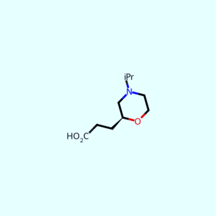 CC(C)N1CCO[C@@H](CCC(=O)O)C1